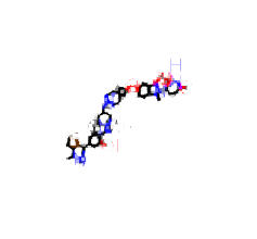 C=C1c2ccsc2C(c2cc(O)c(CN3CCC(CN4CCC5(CC4)CC(Oc4ccc6c(c4)C(=O)N(C4CCC(=O)NC4=O)C6=C)C5)CC3)c(OC)c2)=CN1C